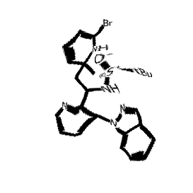 CC1(CC(N[S@@+]([O-])C(C)(C)C)c2ncccc2-n2ncc3ccccc32)C=CC=C(Br)N1